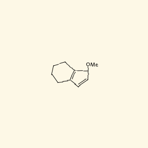 COC1C=CC2=C1CCCC2